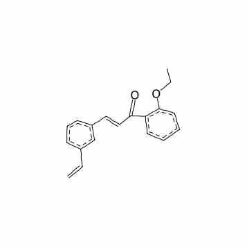 C=Cc1cccc(C=CC(=O)c2ccccc2OCC)c1